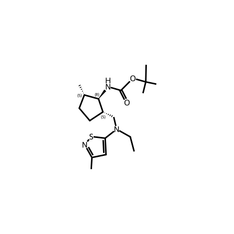 CCN(C[C@@H]1CC[C@H](C)[C@H]1NC(=O)OC(C)(C)C)c1cc(C)ns1